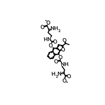 COC(=O)[C@@H](N)CCNC(=O)Oc1c2ccccc2c(OC(=O)NCC[C@H](N)C(=O)OC)c2oc(C(C)=O)cc12